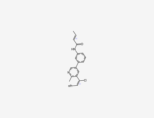 C/C=C/C(=O)Nc1cccc(-c2cnc(C)c(/C(Cl)=C\CCC)c2)c1